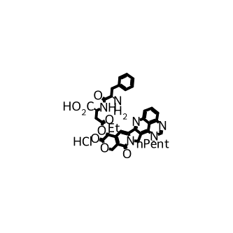 CCCCCN1C=Nc2cccc3nc4c(c1c23)Cn1c-4cc2c(c1=O)COC(=O)[C@@]2(CC)OC(=O)C[C@H](NC(=O)[C@@H](N)Cc1ccccc1)C(=O)O.Cl